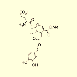 C=CC1C(OC(=O)[C@@H](N)CCC(=O)O)OC=C(C(=O)OC)C1CC(=O)OCCc1ccc(O)c(O)c1